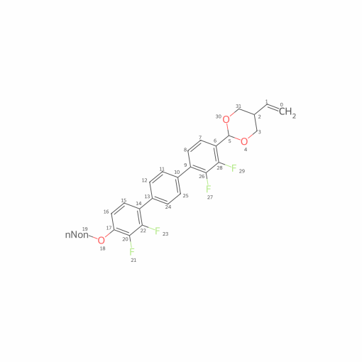 C=CC1COC(c2ccc(-c3ccc(-c4ccc(OCCCCCCCCC)c(F)c4F)cc3)c(F)c2F)OC1